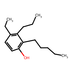 CCCCCc1c(O)ccc(CC)c1CCC